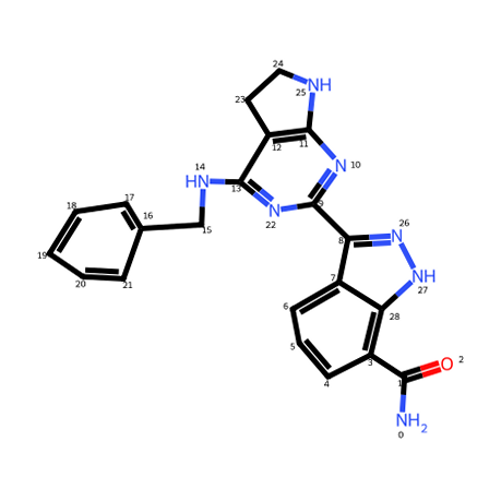 NC(=O)c1cccc2c(-c3nc4c(c(NCc5ccccc5)n3)CCN4)n[nH]c12